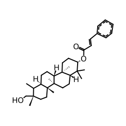 CC1[C@H]2CC[C@@H]3[C@@]4(C)CC[C@H](OC(=O)/C=C/c5ccccc5)C(C)(C)[C@@H]4CC[C@@]3(C)[C@]2(C)CC[C@]1(C)CO